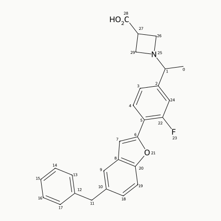 CC(c1ccc(-c2cc3cc(Cc4ccccc4)ccc3o2)c(F)c1)N1CC(C(=O)O)C1